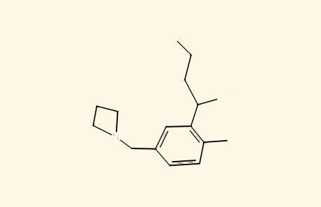 [CH2]c1ccc(CN2CCC2)cc1C([O])CCC